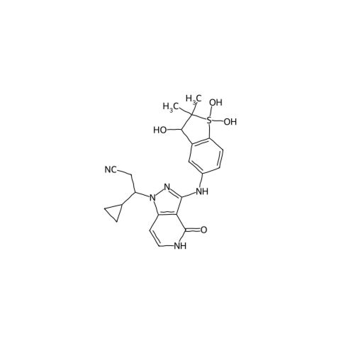 CC1(C)C(O)c2cc(Nc3nn(C(CC#N)C4CC4)c4cc[nH]c(=O)c34)ccc2S1(O)O